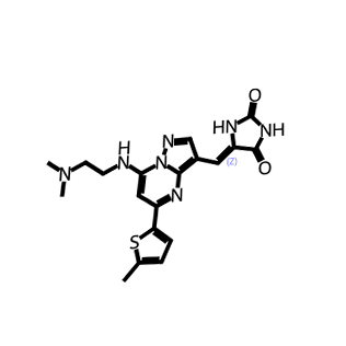 Cc1ccc(-c2cc(NCCN(C)C)n3ncc(/C=C4\NC(=O)NC4=O)c3n2)s1